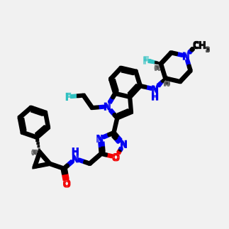 CN1CC[C@@H](Nc2cccc3c2cc(-c2noc(CNC(=O)C4C[C@@H]4c4ccccc4)n2)n3CCF)[C@@H](F)C1